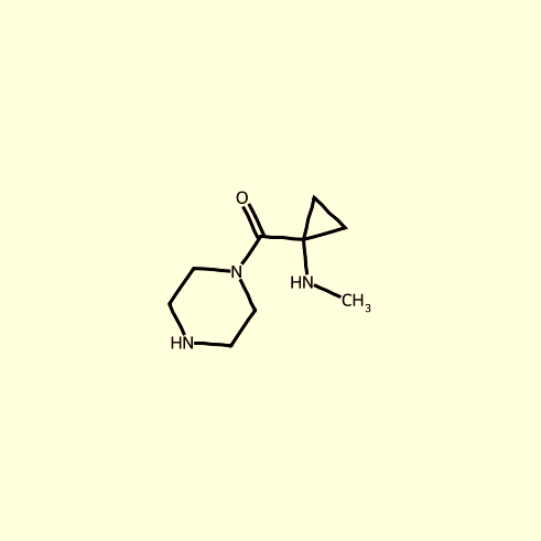 CNC1(C(=O)N2CCNCC2)CC1